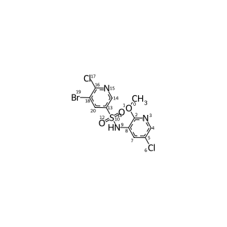 COc1ncc(Cl)cc1NS(=O)(=O)c1cnc(Cl)c(Br)c1